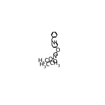 CC(C)(C)OC(=O)N1CC(Oc2cc[n+](Cc3ccccc3)cc2)C1